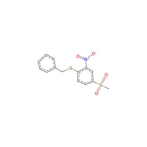 CS(=O)(=O)c1ccc(SCc2ccccc2)c([N+](=O)[O-])c1